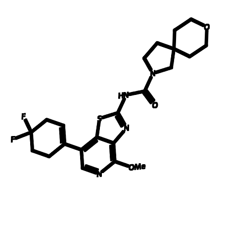 COc1ncc(C2=CCC(F)(F)CC2)c2sc(NC(=O)N3CCC4(CCOCC4)C3)nc12